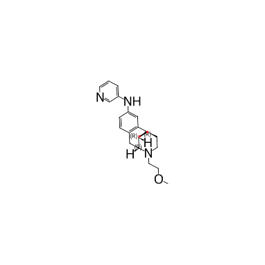 COCCN1CC[C@]23CCCC[C@H]2[C@H]1Cc1ccc(Nc2cccnc2)cc13